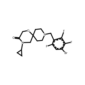 O=C1COC2(CCN(Cc3c(F)cc(Br)c(F)c3F)CC2)CN1C1CC1